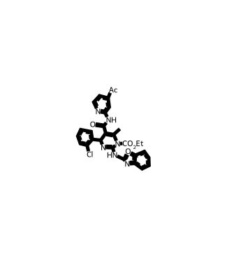 CCOC(=O)N1C(Nc2nc3ccccc3o2)=NC(c2ccccc2Cl)C(C(=O)Nc2cc(C(C)=O)ccn2)=C1C